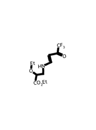 CCOC(=O)C(CNC=CC(=O)C(F)(F)F)OCC